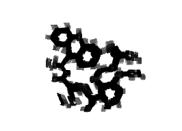 COc1ccnc(C(=O)N[C@@H](C)C(=O)OC(C)C2c3ccccc3Oc3ccccc32)c1OCOC(C)=O